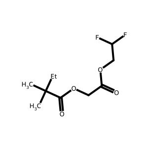 CCC(C)(C)C(=O)OCC(=O)OCC(F)F